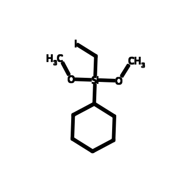 CO[Si](CI)(OC)C1CCCCC1